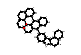 c1ccc2c(c1)ccc1cccc(-c3c4ccccc4c(-c4ccc5oc6ccc7ccccc7c6c5c4)c4ccccc34)c12